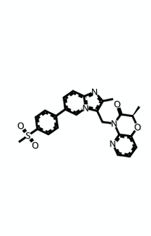 Cc1nc2ccc(-c3ccc(S(C)(=O)=O)cc3)cn2c1CN1C(=O)[C@@H](C)Oc2cccnc21